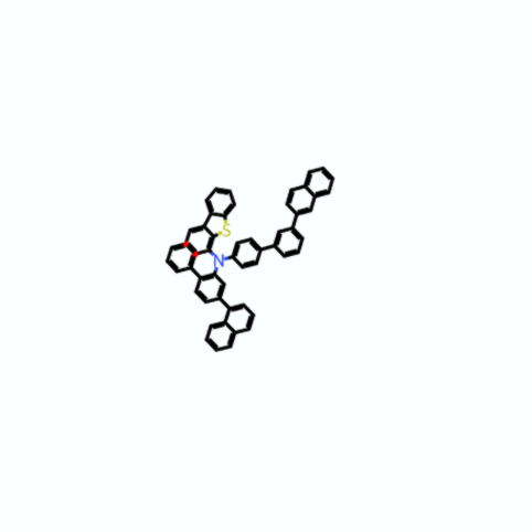 c1ccc(-c2ccc(-c3cccc4ccccc34)cc2N(c2ccc(-c3cccc(-c4ccc5ccccc5c4)c3)cc2)c2cccc3c2sc2ccccc23)cc1